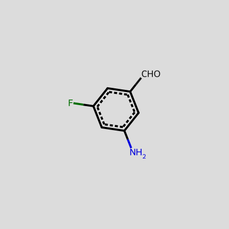 Nc1cc(F)cc(C=O)c1